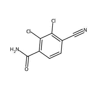 N#Cc1ccc(C(N)=O)c(Cl)c1Cl